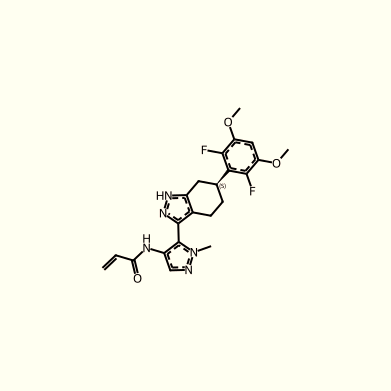 C=CC(=O)Nc1cnn(C)c1-c1n[nH]c2c1CC[C@H](c1c(F)c(OC)cc(OC)c1F)C2